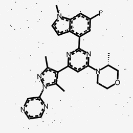 Cc1nn(-c2cnccn2)c(C)c1-c1cc(N2CCOC[C@H]2C)nc(-c2cc(F)cc3c2ccn3C)n1